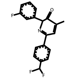 CC1=CC(c2ccc(C(F)F)cc2)=NC(c2cccc(F)c2)C1=O